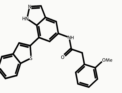 COc1ccccc1CC(=O)Nc1cc(-c2cc3ccccc3s2)c2[nH]ncc2c1